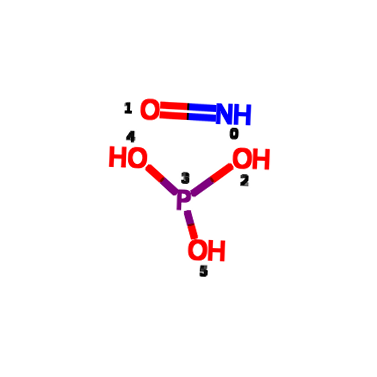 N=O.OP(O)O